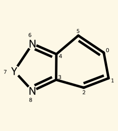 c1ccc2c(c1)=[N][Y][N]=2